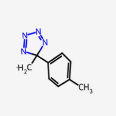 [CH2]C1(c2ccc(C)cc2)N=NN=N1